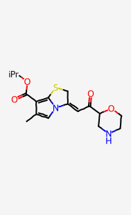 Cc1cn2c(c1C(=O)OC(C)C)SC/C2=C\C(=O)C1CNCCO1